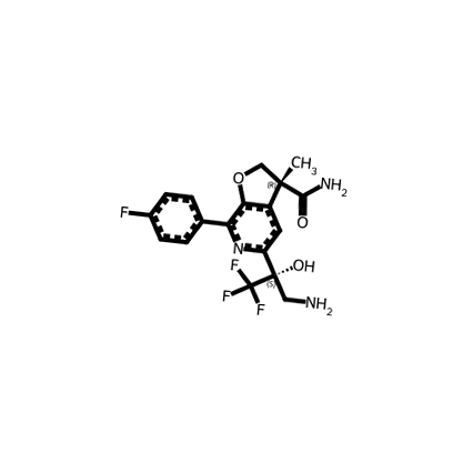 C[C@]1(C(N)=O)COc2c1cc([C@@](O)(CN)C(F)(F)F)nc2-c1ccc(F)cc1